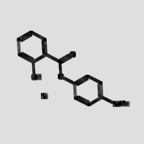 CC(=O)Nc1ccc(OC(=O)c2ccccc2O)cc1.[Ni]